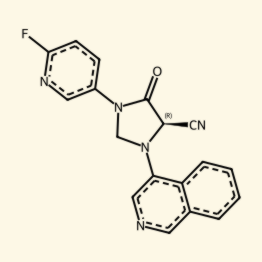 N#C[C@@H]1C(=O)N(c2ccc(F)nc2)CN1c1cncc2ccccc12